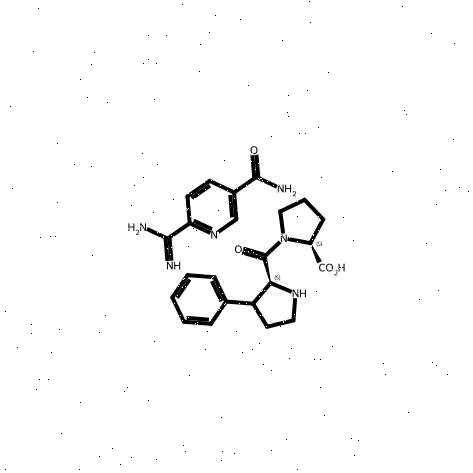 N=C(N)c1ccc(C(N)=O)cn1.O=C(O)[C@@H]1CCCN1C(=O)[C@H]1NCCC1c1ccccc1